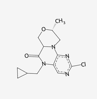 C[C@@H]1CN2c3nc(Cl)ncc3N(CC3CC3)C(=O)C2CO1